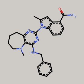 Cc1cc2c(C(N)=O)cccc2n1-c1nc2c(c(NCc3ccccc3)n1)N(C)CCCC2